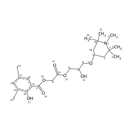 CN1C(C)(C)CC(OCC(O)COC(=O)COC(=O)c2cc(I)cc(I)c2O)CC1(C)C